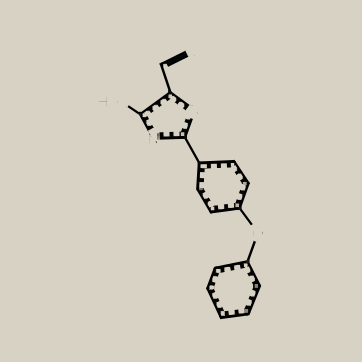 Cc1nc(-c2ccc(Oc3ccccc3)cc2)sc1C=O